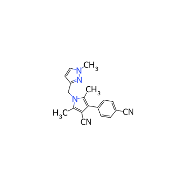 Cc1c(C#N)c(-c2ccc(C#N)cc2)c(C)n1Cc1ccn(C)n1